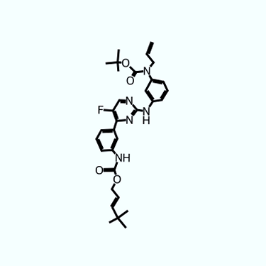 C=CCN(C(=O)OC(C)(C)C)c1cccc(Nc2ncc(F)c(-c3cccc(NC(=O)OCC=CC(C)(C)C)c3)n2)c1